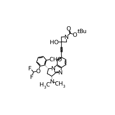 CN(C)[C@@H]1C[C@H](c2c(C=O)cccc2OC(F)F)n2c1nc1ccc(C#CC3(O)CN(C(=O)OC(C)(C)C)C3)cc12